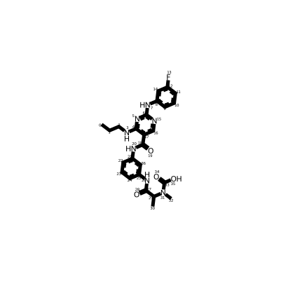 CCCNc1nc(Nc2cccc(F)c2)ncc1C(=O)Nc1cccc(NC(=O)C(C)N(C)C(=O)O)c1